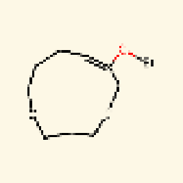 CCO/C1=C/CCCCCCCCC1